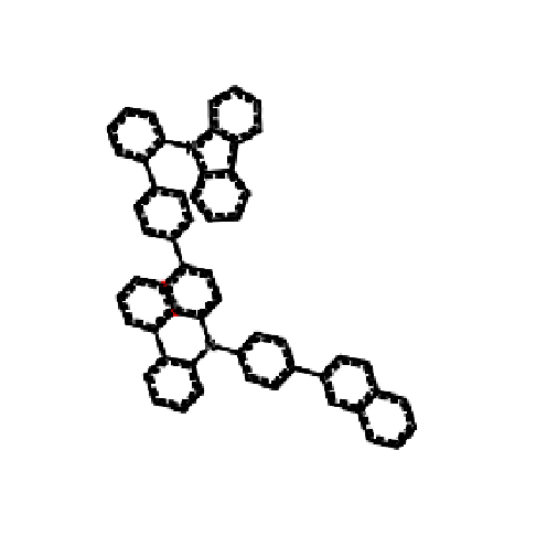 c1ccc(-c2ccccc2N(c2ccc(-c3ccc(-c4ccccc4-n4c5ccccc5c5ccccc54)cc3)cc2)c2ccc(-c3ccc4ccccc4c3)cc2)cc1